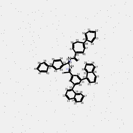 C=C(/N=C(\N=C(/C)c1cc(-c2cccc3ccccc23)cc(-c2cccc3ccccc23)c1)c1ccc(-c2ccccc2)cc1)C1=CC=C(c2ccccc2)CC=C1